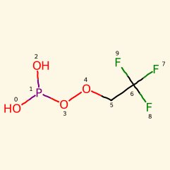 OP(O)OOCC(F)(F)F